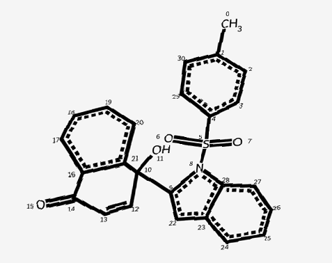 Cc1ccc(S(=O)(=O)n2c(C3(O)C=CC(=O)c4ccccc43)cc3ccccc32)cc1